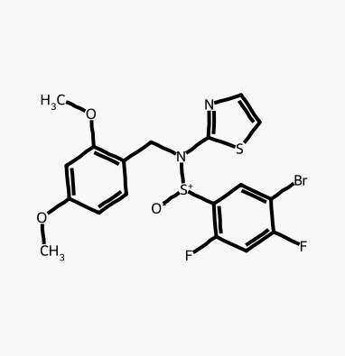 COc1ccc(CN(c2nccs2)[S+]([O-])c2cc(Br)c(F)cc2F)c(OC)c1